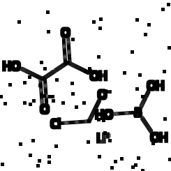 O=C(O)C(=O)O.OB(O)O.[Li+].[O-]CCl